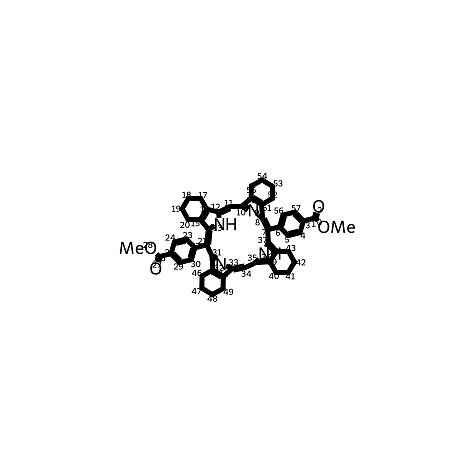 COC(=O)c1ccc(-c2c3nc(cc4[nH]c(c5c4CCCC5)c(-c4ccc(C(=O)OC)cc4)c4nc(cc5[nH]c2c2c5CCCC2)C2=C4CCCC2)C2=C3CCCC2)cc1